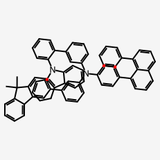 CC1(C)c2ccccc2-c2cc(-c3cccc(N(c4ccc(-c5cccc6cccc(-c7ccccc7)c56)cc4)c4cccc(-c5ccccc5-n5c6c(c7ccccc75)CCC=C6)c4)c3)ccc21